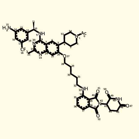 CC(=O)N1CCC(c2cc3c(N[C@H](C)c4cc(N)cc(C(F)(F)F)c4)nc(C)nc3cc2OCCCCCNc2cccc3c2C(=O)N(C2CCC(=O)NC2=O)C3=O)CC1